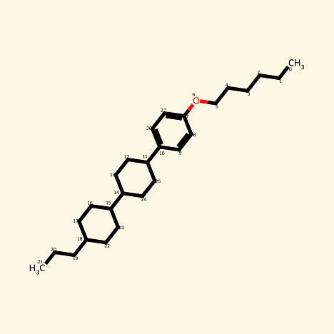 CCCCCCOc1ccc(C2CCC(C3CCC(CCC)CC3)CC2)cc1